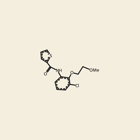 COCCOc1c(Cl)cccc1NC(=O)c1cccs1